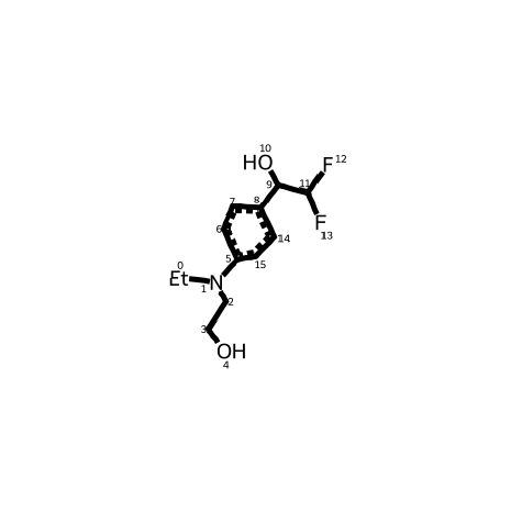 CCN(CCO)c1ccc(C(O)C(F)F)cc1